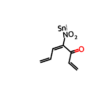 C=CC=C(C(=O)C=C)[N+](=O)[O-].[Sn]